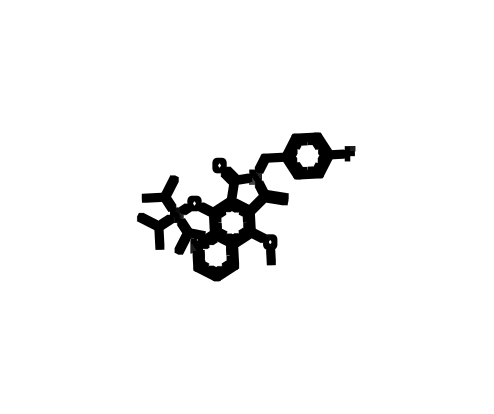 C=C1c2c(c(O[Si](C(C)C)(C(C)C)C(C)C)c3ncccc3c2OC)C(=O)N1Cc1ccc(F)cc1